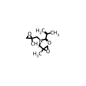 C=C(C)C(=O)N(CC1(C)CO1)CC1(C)CO1